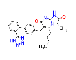 CCCCc1c(Cc2ccc(-c3ccccc3-c3nnn[nH]3)cc2)c(=O)nc2n1C(C)C(=O)N2